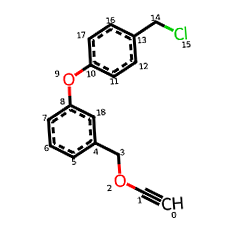 C#COCc1cccc(Oc2ccc(CCl)cc2)c1